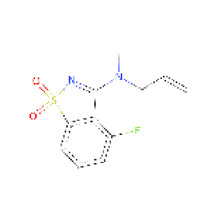 C=CCN(C)C1=NS(=O)(=O)c2cccc(F)c21